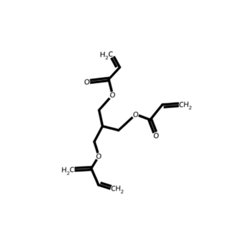 C=CC(=C)OCC(COC(=O)C=C)COC(=O)C=C